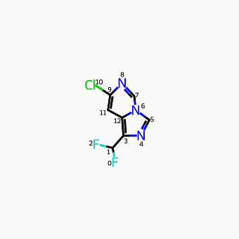 FC(F)c1ncn2cnc(Cl)cc12